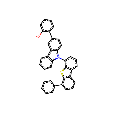 Oc1ccccc1-c1ccc2c(c1)c1ccccc1n2-c1cccc2c1sc1c(-c3ccccc3)cccc12